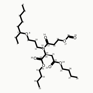 CCCCCC(CC)OCCCN(C(=O)CCOC=O)[C@@H](CC(=O)OCCCC)C(=O)OCCCC